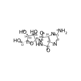 Nc1cnc2c(=O)[nH]n([C@@H]3O[C@H](CO)[C@@H](O)[C@H]3O)c(=O)c2n1